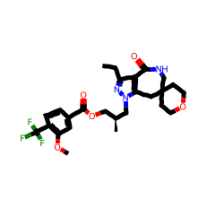 CCc1nn(C[C@@H](C)COC(=O)c2ccc(C(F)(F)F)c(OC)c2)c2c1C(=O)NCC1(CCOCC1)C2